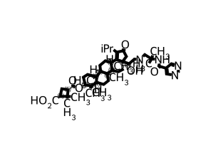 CC(C)C1=C2[C@H]3CC[C@@H]4[C@@]5(C)CC[C@H](OC(=O)[C@H]6C[C@@H](C(=O)O)C6(C)C)C(C)(C)[C@@H]5CC[C@@]4(C)[C@]3(C)CC[C@@]2([C@@H](O)CNCC(C)(C)NC(=O)c2cncnc2)CC1=O